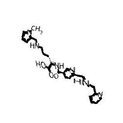 Cn1cccc1CNCCC[C@H](NC(=O)c1ccc(CNCc2ccccn2)nc1)C(=O)O